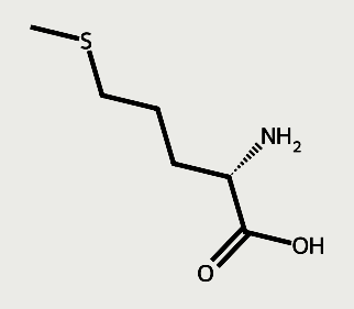 CSCCC[C@H](N)C(=O)O